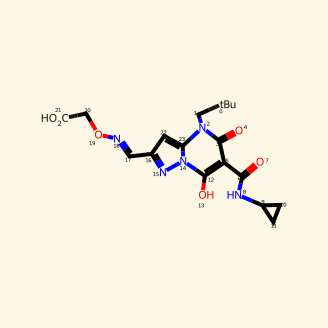 CC(C)(C)Cn1c(=O)c(C(=O)NC2CC2)c(O)n2nc(C=NOCC(=O)O)cc12